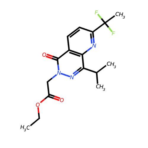 CCOC(=O)Cn1nc(C(C)C)c2nc(C(C)(F)F)ccc2c1=O